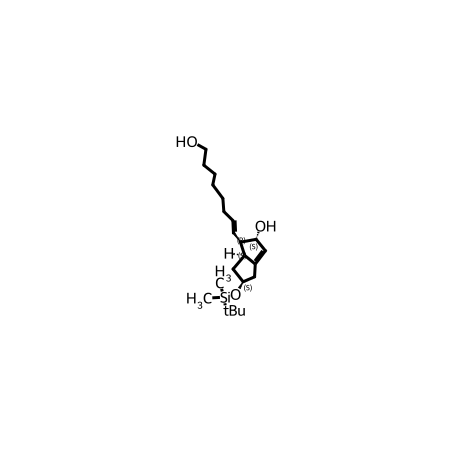 CC(C)(C)[Si](C)(C)O[C@@H]1CC2=C[C@@H](O)[C@H](C=CCCCCCCO)[C@@H]2C1